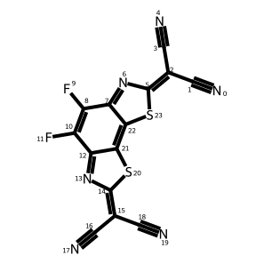 N#CC(C#N)=c1nc2c(F)c(F)c3nc(=C(C#N)C#N)sc3c2s1